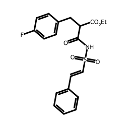 CCOC(=O)C(Cc1ccc(F)cc1)C(=O)NS(=O)(=O)C=Cc1ccccc1